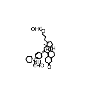 C[C@]12C[C@H](c3ccc([N+]4(NC=O)CCCCC4)cc3)C3=C4CCC(=O)C=C4CC[C@H]3[C@@H]1CC[C@@H]2CCCOC=O